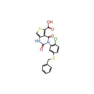 O=C(O)c1scc2[nH]c(=O)n(-c3cc(SCc4ccccc4)ccc3Cl)c(=O)c12